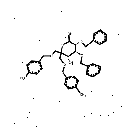 Cc1ccc(COCC2(COCc3ccc(C)cc3)OC(O)[C@H](OCc3ccccc3)[C@@H](OCc3ccccc3)[C@@H]2C)cc1